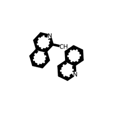 Cc1nccc2ccccc12.c1ccc2ncccc2c1